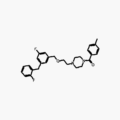 Cc1ccc(C(=O)N2CCN(CCOCc3cc(F)cc(Cc4ccccc4F)c3)CC2)cc1